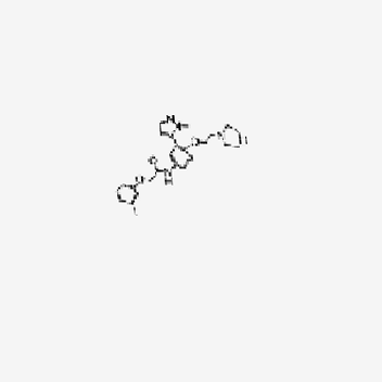 Cc1cccc(OCC(=O)Nc2ccc(OCCN3CCOCC3)c(-c3ccnn3C)c2)c1